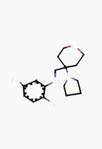 Nc1ccc(Br)cc1NCC1(N2CCCC2)CCOCC1